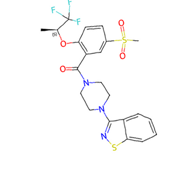 C[C@H](Oc1ccc(S(C)(=O)=O)cc1C(=O)N1CCN(c2nsc3ccccc23)CC1)C(F)(F)F